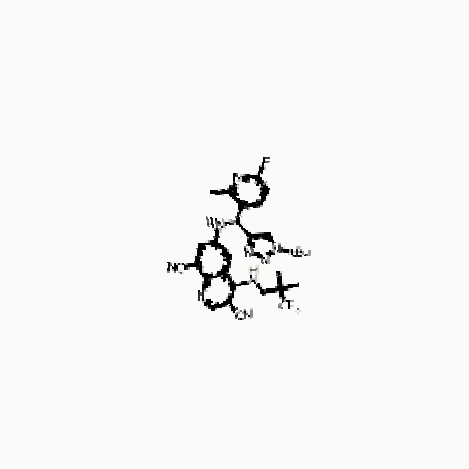 Cc1nc(F)ccc1[C@H](Nc1cc(C#N)c2ncc(C#N)c(NCC(C)(C)C(F)(F)F)c2c1)c1cn(C(C)(C)C)nn1